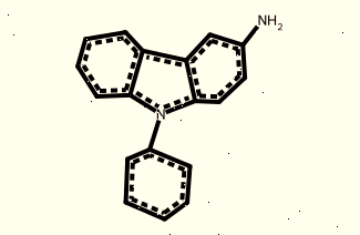 Nc1ccc2c(c1)c1ccccc1n2-c1ccccc1